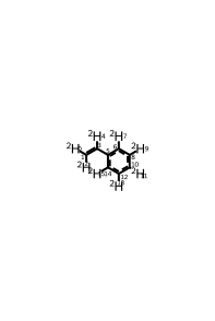 [2H]C([2H])=C([2H])c1c([2H])c([2H])c([2H])c([2H])c1[2H]